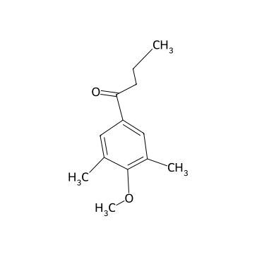 CCCC(=O)c1cc(C)c(OC)c(C)c1